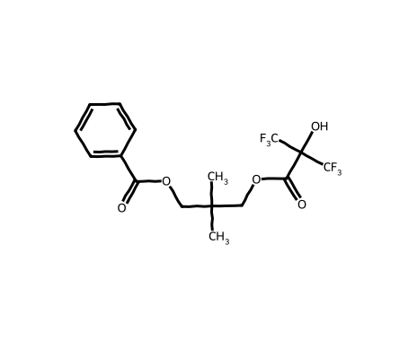 CC(C)(COC(=O)c1ccccc1)COC(=O)C(O)(C(F)(F)F)C(F)(F)F